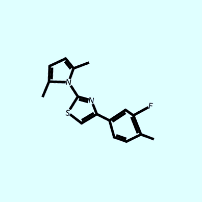 Cc1ccc(-c2csc(-n3c(C)ccc3C)n2)cc1F